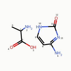 CC(N)C(=O)O.Nc1cc[nH]c(=O)n1